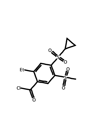 CCc1cc(S(=O)(=O)C2CC2)c(S(C)(=O)=O)cc1C(=O)Cl